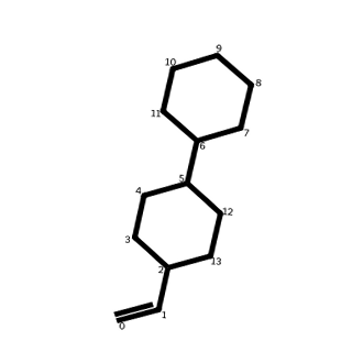 C=CC1CCC(C2CCCCC2)CC1